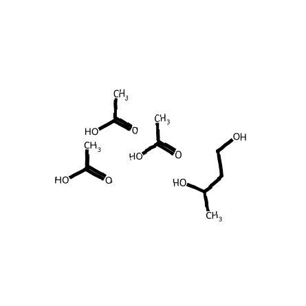 CC(=O)O.CC(=O)O.CC(=O)O.CC(O)CCO